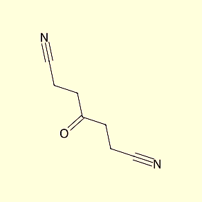 N#CCCC(=O)CCC#N